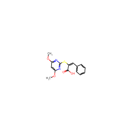 COc1cc(OC)nc(SC(=Cc2ccccc2)C(=O)O)n1